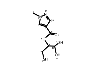 Cn1cc(C(=O)OC(CS)C(O)S)nn1